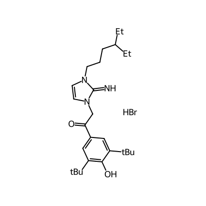 Br.CCC(CC)CCCn1ccn(CC(=O)c2cc(C(C)(C)C)c(O)c(C(C)(C)C)c2)c1=N